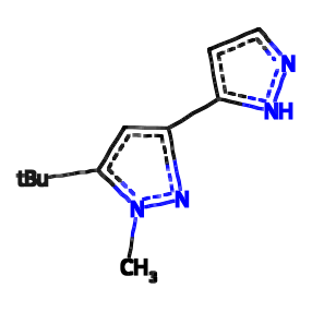 Cn1nc(-c2ccn[nH]2)cc1C(C)(C)C